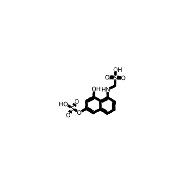 O=S(=O)(O)CNc1cccc2cc(OS(=O)(=O)O)cc(O)c12